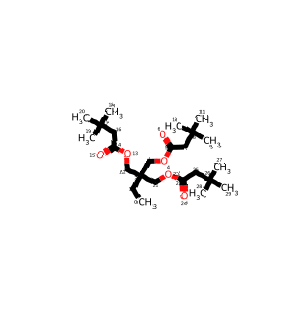 CCC(COC(=O)CC(C)(C)C)(COC(=O)CC(C)(C)C)COC(=O)CC(C)(C)C